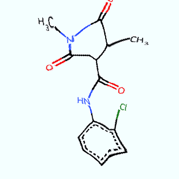 CC1C(=O)N(C)C(=O)C1C(=O)Nc1ccccc1Cl